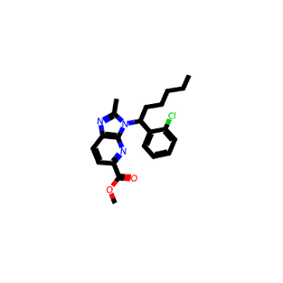 CCCCCC(c1ccccc1Cl)n1c(C)nc2ccc(C(=O)OC)nc21